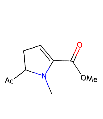 COC(=O)C1=CCC(C(C)=O)N1C